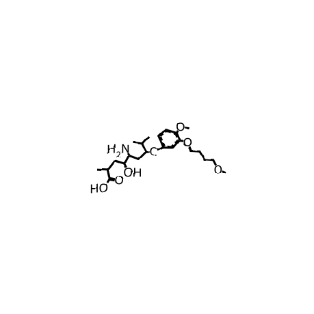 COCCCCOc1cc(CC(CC(N)C(O)CC(C)C(=O)O)C(C)C)ccc1OC